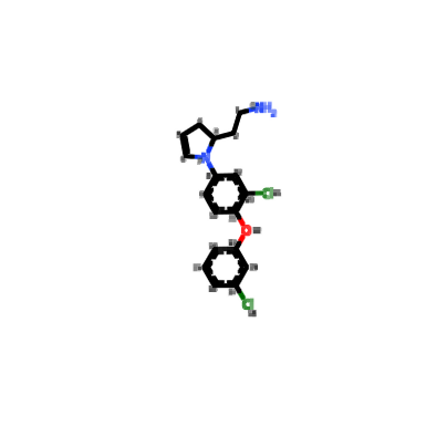 NCCC1CC=CN1c1ccc(Oc2cccc(Cl)c2)c(Cl)c1